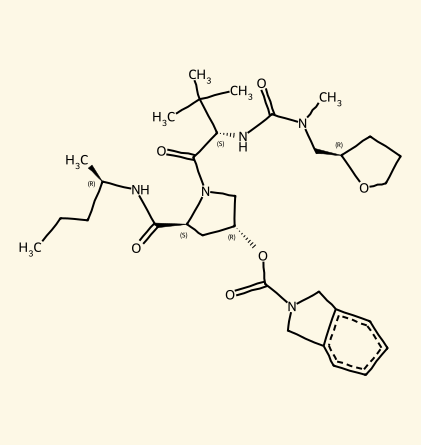 CCC[C@@H](C)NC(=O)[C@@H]1C[C@@H](OC(=O)N2Cc3ccccc3C2)CN1C(=O)[C@@H](NC(=O)N(C)C[C@H]1CCCO1)C(C)(C)C